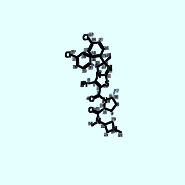 CC(C)C1=C(C(=O)N2[C@H](C)CC[C@H]2C(=O)N(C)C2CN(C)C2)SC2=N[C@@](C)(c3ccc(Cl)cc3)[C@@H](c3ccc(Cl)cc3)N21